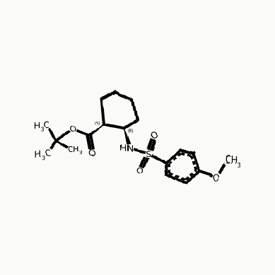 COc1ccc(S(=O)(=O)N[C@@H]2CCCC[C@@H]2C(=O)OC(C)(C)C)cc1